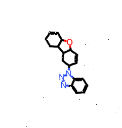 C1=CC2OC3C=CC(n4nnc5ccccc54)CC3C2CC1